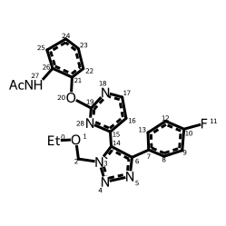 CCOCn1nnc(-c2ccc(F)cc2)c1-c1ccnc(Oc2ccccc2NC(C)=O)n1